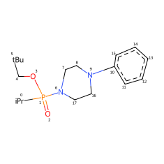 CC(C)P(=O)(OCC(C)(C)C)N1CCN(c2ccccc2)CC1